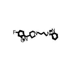 Fc1ccc2c(C3CCN(CCCCn4cnc5ccccc54)CC3)noc2c1